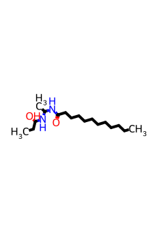 CCCCCCCCCCCC(=O)NC(C)NC(O)CC